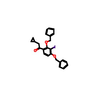 O=C(CC1CC1)c1ccc(OCc2ccccc2)c(I)c1OCc1ccccc1